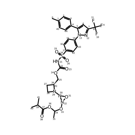 Cc1ccc(-c2cc(C(F)(F)F)nn2-c2ccc(S(=O)(=O)NC(=O)OC[C@@H]3CCN3n3on3OC(C)OC(=O)C(C)C)cc2)cc1